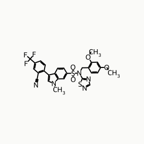 COc1ccc(CN(c2ncns2)S(=O)(=O)c2ccc3c(-c4ccc(C(F)(F)F)cc4C#N)cn(C)c3c2)c(OC)c1